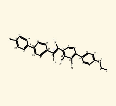 CCOc1ccc(-c2ccc(/C(F)=C(\F)c3ccc(-c4ccc(C)cc4)cc3)c(F)c2F)cc1